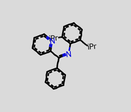 CC(C)c1cccc(C(C)C)c1N=C(c1ccccc1)c1ccccn1